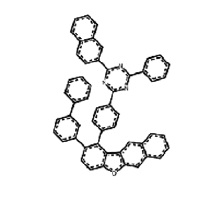 c1ccc(-c2cccc(-c3ccc4oc5cc6ccccc6cc5c4c3-c3ccc(-c4nc(-c5ccccc5)nc(-c5ccc6ccccc6c5)n4)cc3)c2)cc1